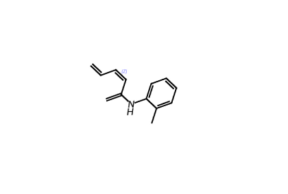 C=C/C=C\C(=C)Nc1ccccc1C